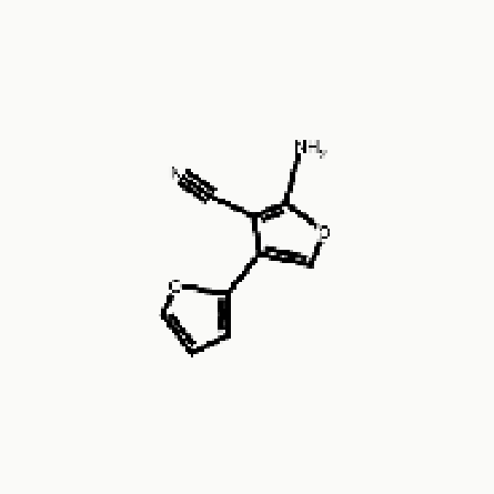 N#Cc1c(-c2ccco2)coc1N